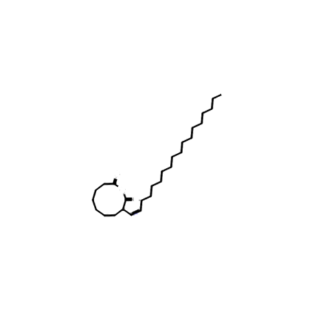 CCCCCCCCCCCCCCCC/C=C\C1CCCCCCC(=O)OC1=O